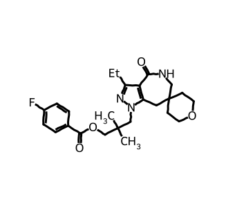 CCc1nn(CC(C)(C)COC(=O)c2ccc(F)cc2)c2c1C(=O)NCC1(CCOCC1)C2